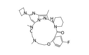 Cc1c2nn3c(cc(N4CCC4)nc13)N(C)CCN(C)CCOc1c#cc(F)cc1C(=O)N1CCCC[C@@H]21